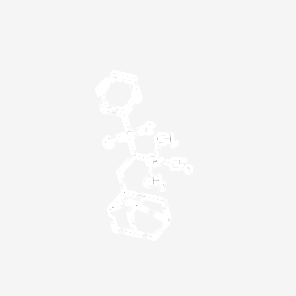 [CH3][Ge]([CH3])([CH3])[CH](CC1C2CC3CC(C2)CC1C3)S(=O)(=O)c1ccccc1